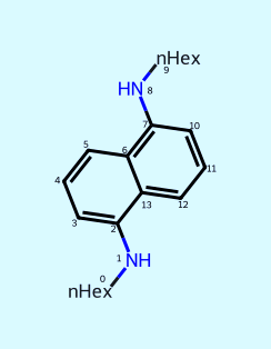 CCCCCCNc1cccc2c(NCCCCCC)cccc12